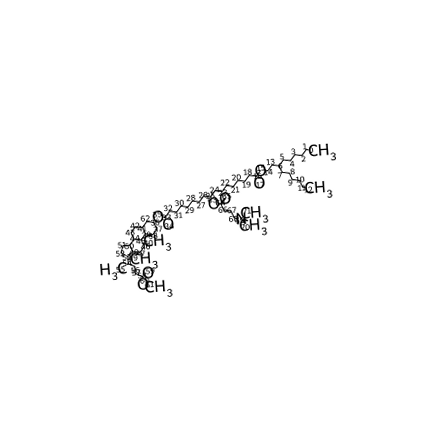 CCCCCCC(CCCCCC)CCOC(=O)CCCCCCCC(CCCCCCCC(=O)O[C@@H]1CC[C@@]2(C)C(CCC3C2CC[C@@]2(C)C3CC[C@@H]2[C@H](C)CCC(=O)OC)C1)OC(=O)CCCN(C)C